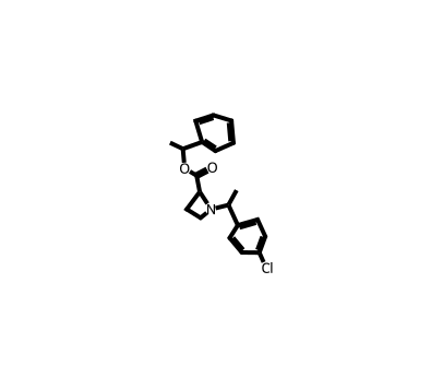 CC(OC(=O)C1CCN1C(C)c1ccc(Cl)cc1)c1ccccc1